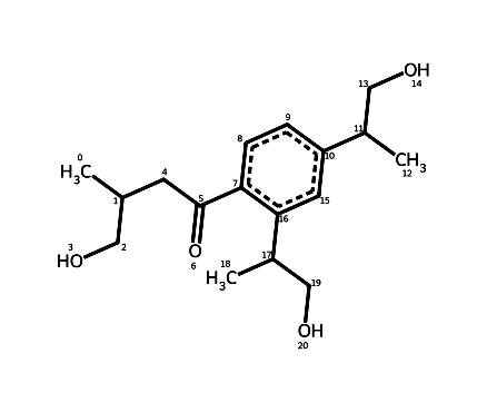 CC(CO)CC(=O)c1ccc(C(C)CO)cc1C(C)CO